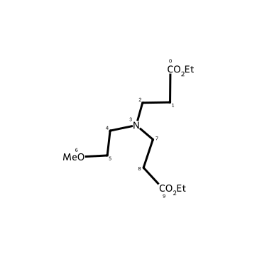 CCOC(=O)CCN(CCOC)CCC(=O)OCC